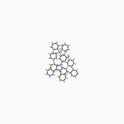 Brc1ccc(-c2ccccc2-c2cc3c(c4ccccc24)c2c4ccccc4ccc2n3-c2ccc3c(c2)C(c2ccccc2)(c2ccccc2)c2ccccc2-3)cc1